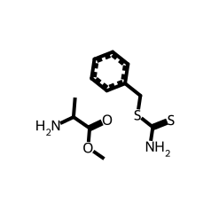 COC(=O)C(C)N.NC(=S)SCc1ccccc1